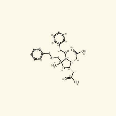 C[C@]1(COCc2ccccc2)O[C@@H](CC(=O)O)[C@@H](CC(=O)O)[C@@H]1OCc1ccccc1